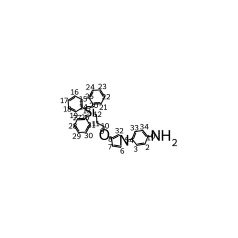 Nc1ccc(-n2ccc(OCCC[Si](c3ccccc3)(c3ccccc3)c3ccccc3)c2)cc1